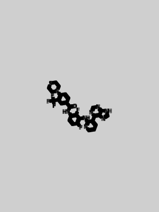 O=C(Nc1ccc(F)c(Nc2ncccc2-c2ncnc3[nH]cnc23)c1F)c1ccc(N2CCSCC2)c(C(F)(F)F)c1